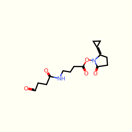 O=CCCC(=O)NCCCC(=O)ON1C(=O)CCC1=C1CC1